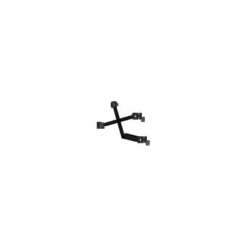 C=CC(C)([O])CC